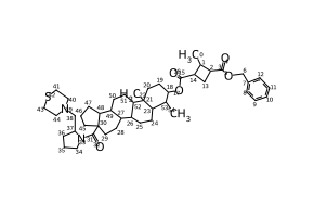 CC1C(C(=O)OCc2ccccc2)CC1C(=O)OC1CCC2(C)C(CCC3C4CCC5(C(=O)N6CCCC6CN6CCSCC6)CCCC5C4CCC32)C1C